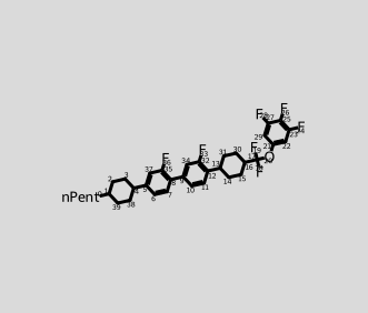 CCCCCC1CCC(c2ccc(-c3ccc(C4CCC(C(F)(F)Oc5cc(F)c(F)c(F)c5)CC4)c(F)c3)c(F)c2)CC1